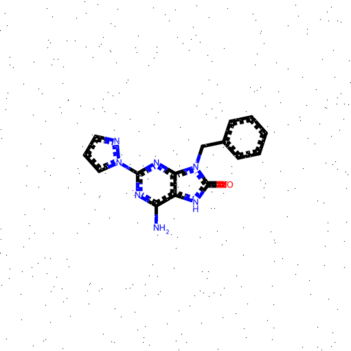 Nc1nc(-n2cccn2)nc2c1[nH]c(=O)n2Cc1ccccc1